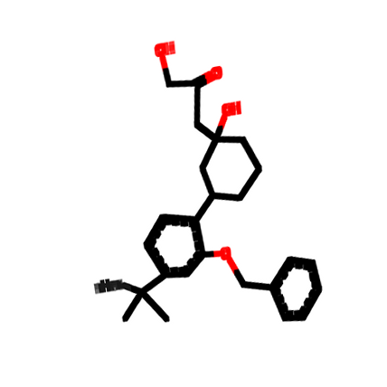 CCCCCCC(C)(C)c1ccc(C2CCCC(O)(CC(=O)CO)C2)c(OCc2ccccc2)c1